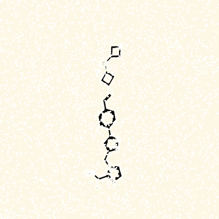 C[C@H](O)c1nccn1Cc1cc(-c2ccc(/C=C/[C@H]3C[C@H](NC4COC4)C3)cc2)on1